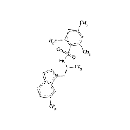 Cc1cc(C)c(S(=O)(=O)NC(Cn2ccc3ccc(C(F)(F)F)cc32)C(F)(F)F)c(C)c1